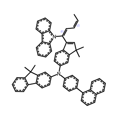 C/C=C\C=C(/C1=CC(C)(C)c2cc(N(c3ccc(-c4cccc5ccccc45)cc3)c3ccc4c(c3)C(C)(C)c3ccccc3-4)ccc21)n1c2ccccc2c2ccccc21